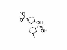 COC(=O)c1ccc(O)c(-c2ccc(C)cc2C[C@H](C)O)c1